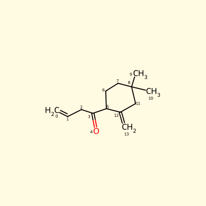 C=CCC(=O)C1CCC(C)(C)CC1=C